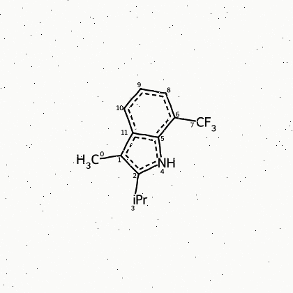 Cc1c(C(C)C)[nH]c2c(C(F)(F)F)cccc12